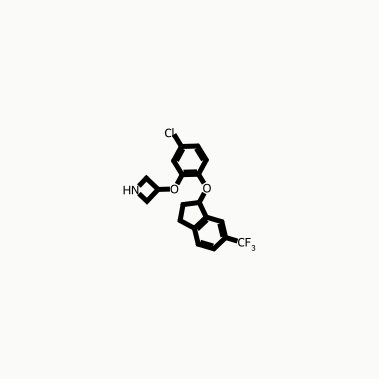 FC(F)(F)c1ccc2c(c1)C(Oc1ccc(Cl)cc1OC1CNC1)CC2